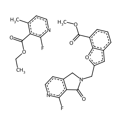 CCOC(=O)c1c(C)ccnc1F.COC(=O)c1cccc2cc(CN3Cc4ccnc(F)c4C3=O)oc12